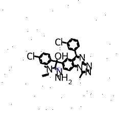 C=CN(C)/C(=N\N)C(O)(c1ccc(Cl)cc1)c1ccc2c(c1)c(-c1cccc(Cl)c1)nc1nnc(C)n12